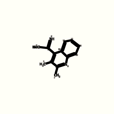 COC(=N)c1c(C)c(C)nc2ccccc12